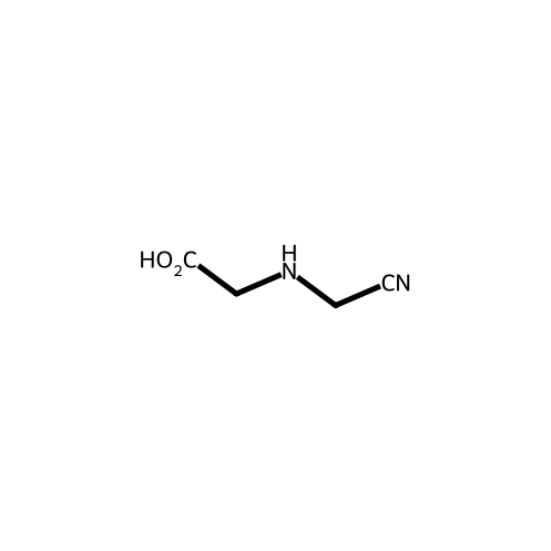 N#CCNCC(=O)O